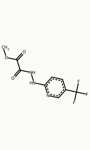 COC(=O)C(=O)NNc1ccc(C(F)(F)F)cn1